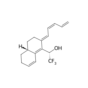 C=C/C=C\C=C1/CC[C@H]2CCC=CC2=C1[C@H](O)C(F)(F)F